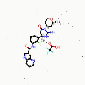 C[C@@H]1C[C@H](N2C(=N)N[C@](C)(c3cccc(NC(=O)c4cnc5cccnc5c4)c3Cl)CC2=O)CCO1.O=C(O)C(F)(F)F